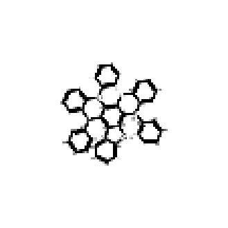 c1ccc(B2c3ccccc3N(c3ccccc3)c3c2c2c(c4oc5ccccc5c34)B(c3ccccc3)c3ccccc3O2)cc1